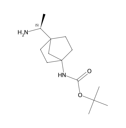 C[C@H](N)C12CCC(NC(=O)OC(C)(C)C)(CC1)C2